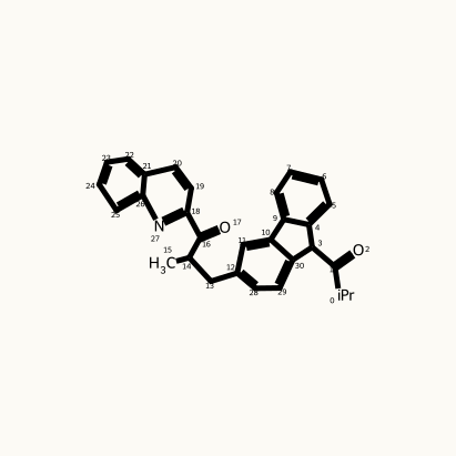 CC(C)C(=O)C1c2ccccc2-c2cc(CC(C)C(=O)c3ccc4ccccc4n3)ccc21